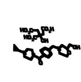 O=C(O)CC(O)(CC(=O)O)C(=O)O.O=C(c1ccc(CN2CCOC(CO)C2)cc1)N1CCN(C2CC2)CC1